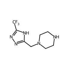 FC(F)(F)c1nnc(CN2CCNCC2)[nH]1